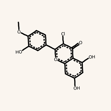 COc1ccc(-c2oc3cc(O)cc(O)c3c(=O)c2Cl)cc1O